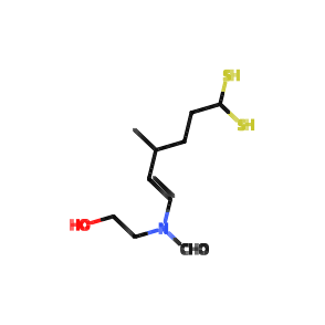 CC(C=CN(C=O)CCO)CCC(S)S